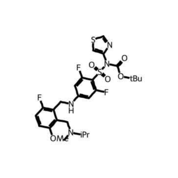 COc1ccc(F)c(CNc2cc(F)c(S(=O)(=O)N(C(=O)OC(C)(C)C)c3cscn3)c(F)c2)c1CN(C)C(C)C